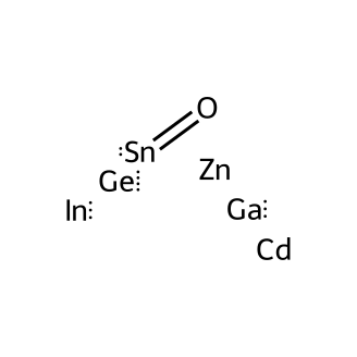 [Cd].[Ga].[Ge].[In].[O]=[Sn].[Zn]